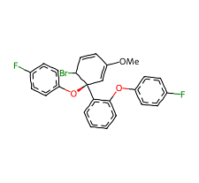 COC1=C[C@](Oc2ccc(F)cc2)(c2ccccc2Oc2ccc(F)cc2)C(Br)C=C1